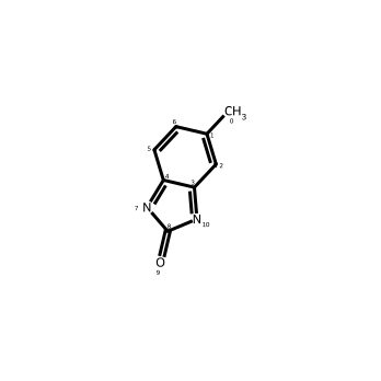 Cc1[c]c2c(cc1)=NC(=O)N=2